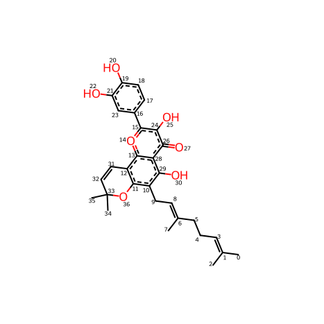 CC(C)=CCC/C(C)=C/Cc1c2c(c3oc(-c4ccc(O)c(O)c4)c(O)c(=O)c3c1O)C=CC(C)(C)O2